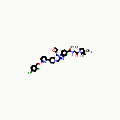 C[C@]12C[C@@H](C(=O)O)N(C(=O)CNC(=O)c3ccc4c(c3)nc(CN3CCC(c5cccc(OCc6ccc(Cl)cc6F)n5)CC3)n4C[C@@H]3CCO3)[C@@]1(C)C2